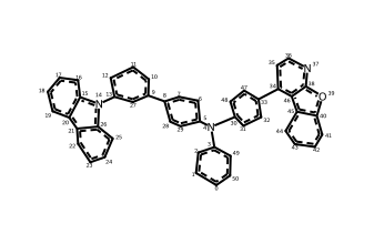 c1ccc(N(c2ccc(-c3cccc(-n4c5ccccc5c5ccccc54)c3)cc2)c2ccc(-c3ccnc4oc5ccccc5c34)cc2)cc1